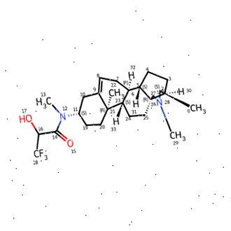 C[C@H]1[C@H]2CC[C@H]3[C@@H]4CC=C5C[C@@H](N(C)C(=O)C(O)C(F)(F)F)CC[C@]5(C)[C@H]4CC[C@]23CN1C